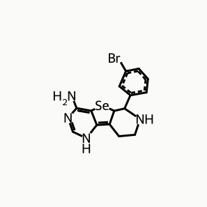 NC1=C2[Se]C3C(=C2NC=N1)CCNC3c1cccc(Br)c1